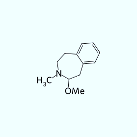 COC1Cc2ccccc2CCN1C